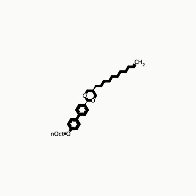 C=CCCCCCCCCC[C@H]1CO[C@H](c2ccc(-c3ccc(OCCCCCCCC)cc3)cc2)OC1